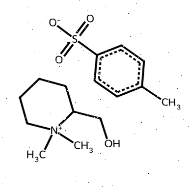 C[N+]1(C)CCCCC1CO.Cc1ccc(S(=O)(=O)[O-])cc1